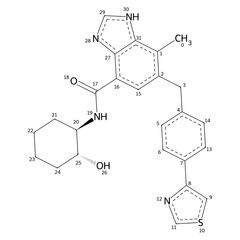 Cc1c(Cc2ccc(-c3cscn3)cc2)cc(C(=O)N[C@@H]2CCCC[C@H]2O)c2nc[nH]c12